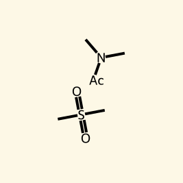 CC(=O)N(C)C.CS(C)(=O)=O